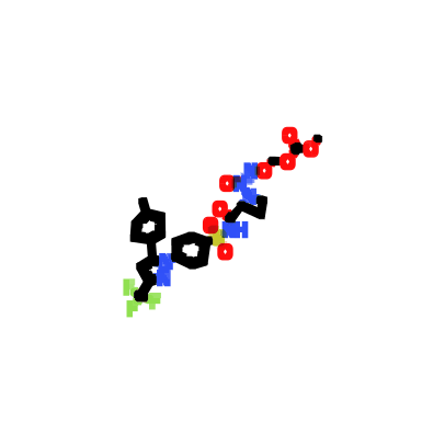 COC(=O)OCO/N=[N+](/[O-])N1CC[C@H]1C(=O)NS(=O)(=O)c1ccc(-n2nc(C(F)(F)F)cc2-c2ccc(C)cc2)cc1